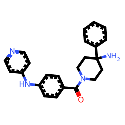 NC1(c2ccccc2)CCN(C(=O)c2ccc(Nc3ccncc3)cc2)CC1